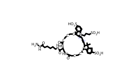 CC12CCCCCC(=O)NC(C(=O)NCCCCCC(=O)NN)CNC(=O)CCCCCN3c4ccc(S(=O)(=O)O)cc4C(C)(C)C3/C=C/C=C/1N(CCCS(=O)(=O)O)c1ccc(S(=O)(=O)O)cc12